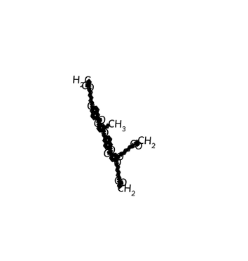 C=CC(=O)OCCCCCCOc1ccc2cc(C(=O)Oc3ccc(OCc4ccc5cc(OC(=O)c6ccc(OCCCCCCOC(=O)C=C)c(OCCCCCCOC(=O)C=C)c6)ccc5c4)c(CCC)c3)ccc2c1